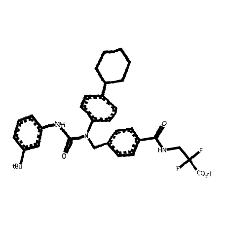 CC(C)(C)c1cccc(NC(=O)N(Cc2ccc(C(=O)NCC(F)(F)C(=O)O)cc2)c2ccc(C3CCCCC3)cc2)c1